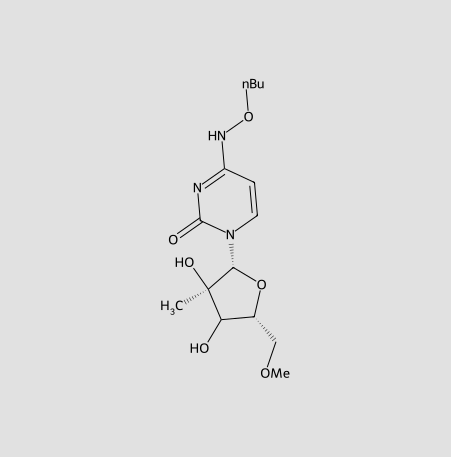 CCCCONc1ccn([C@@H]2O[C@H](COC)C(O)[C@@]2(C)O)c(=O)n1